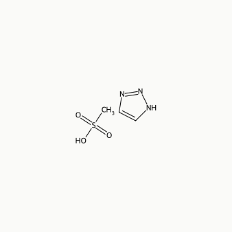 CS(=O)(=O)O.c1c[nH]nn1